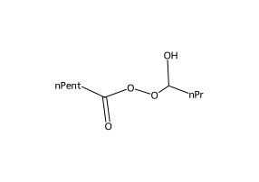 CCCCCC(=O)OOC(O)CCC